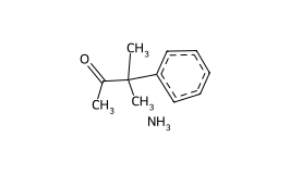 CC(=O)C(C)(C)c1ccccc1.N